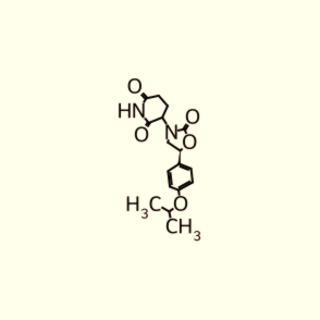 CC(C)Oc1ccc([C@H]2CN(C3CCC(=O)NC3=O)C(=O)O2)cc1